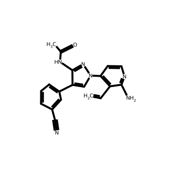 C=Cc1c(-n2cc(-c3cccc(C#N)c3)c(NC(C)=O)n2)ccnc1N